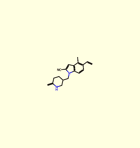 C=Cc1ccc2c(cc(C#N)n2CC2CCC(=C)NC2)c1C